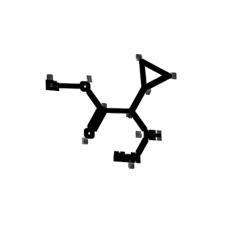 CCOC(=O)C(NNC)C1CC1